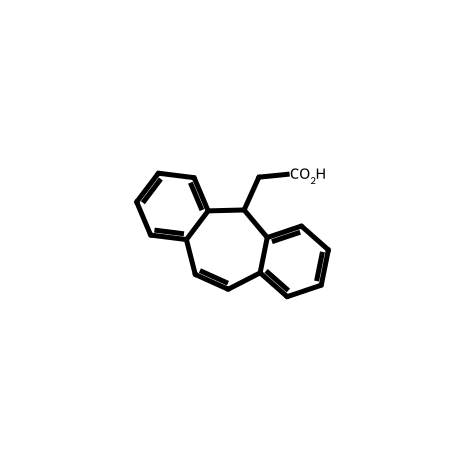 O=C(O)CC1c2ccccc2C=Cc2ccccc21